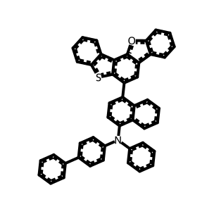 c1ccc(-c2ccc(N(c3ccccc3)c3ccc(-c4cc5c6ccccc6oc5c5c4sc4ccccc45)c4ccccc34)cc2)cc1